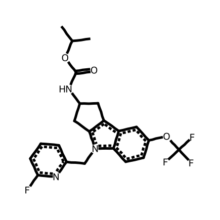 CC(C)OC(=O)NC1Cc2c(n(Cc3cccc(F)n3)c3ccc(OC(F)(F)F)cc23)C1